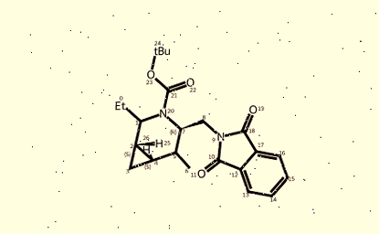 CCC1[C@H]2C[C@H]2C(C)[C@H](CN2C(=O)c3ccccc3C2=O)N1C(=O)OC(C)(C)C